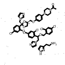 CC(=O)N1CCN(c2ccc(OC[C@H]3CO[C@](Cn4ccnc4)(c4ccc(Cl)cc4Cl)O3)cc2)CC1.Clc1ccc(COC(Cn2ccnc2)c2ccc(Cl)cc2Cl)c(Cl)c1.NCCc1cc[nH]n1